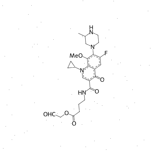 COc1c(N2CCNC(C)C2)c(F)cc2c(=O)c(C(=O)NCCCC(=O)OCC=O)cn(C3CC3)c12